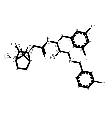 CCc1cccc(CNC[C@@H](O)[C@H](Cc2cc(F)cc(F)c2)NC(=O)C[C@H]2C3CC[C@@](C)(C2O)C3(C)C)c1